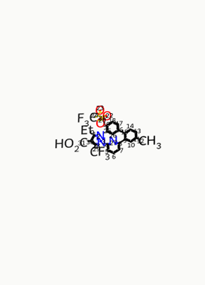 CCc1nn(-c2cccc(-c3cc(C)ccc3-c3ccc(OS(=O)(=O)C(F)(F)F)cc3)n2)c(C(F)(F)F)c1C(=O)O